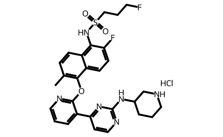 Cc1ccc2c(NS(=O)(=O)CCCF)c(F)ccc2c1Oc1ncccc1-c1ccnc(NC2CCCNC2)n1.Cl